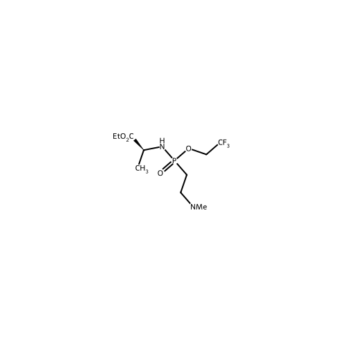 CCOC(=O)[C@H](C)NP(=O)(CCNC)OCC(F)(F)F